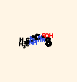 CC(C)Nc1ncc2c(n1)CN(C(=O)N[C@H]1c3ccccc3C[C@@H]1O)CC2